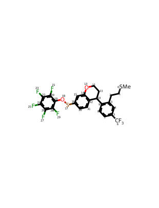 CSCCc1cc(C(F)(F)F)ccc1C1CCOc2cc(SOc3c(F)c(F)c(F)c(F)c3F)ccc21